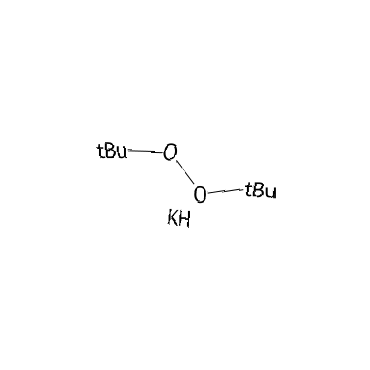 CC(C)(C)OOC(C)(C)C.[KH]